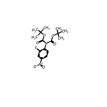 CC(C)(C)OC(=O)N(C(=O)OC(C)(C)C)c1ccc([N+](=O)[O-])cc1F